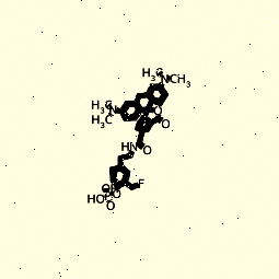 CN(C)c1ccc2c(c1)Cc1cc(N(C)C)ccc1C21OC(=O)c2cc(C(=O)NCCc3ccc(OP(=O)(O)O)c(CF)c3)ccc21